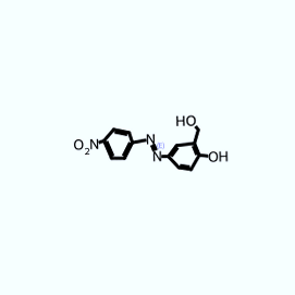 O=[N+]([O-])c1ccc(/N=N/c2ccc(O)c(CO)c2)cc1